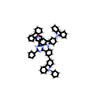 c1ccc(-c2nc(-c3ccccc3)nc(-c3cc(-c4ccc5c(c4)c4ccccc4n5-c4ccccc4)ccc3-n3c4ccc(-n5c6ccccc6c6ccccc65)cc4c4cc(-n5c6ccccc6c6ccccc65)ccc43)n2)cc1